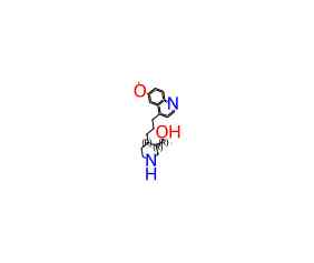 COc1ccc2nccc(CCC[C@@H]3CCNC[C@@H]3[C@@H](C)O)c2c1